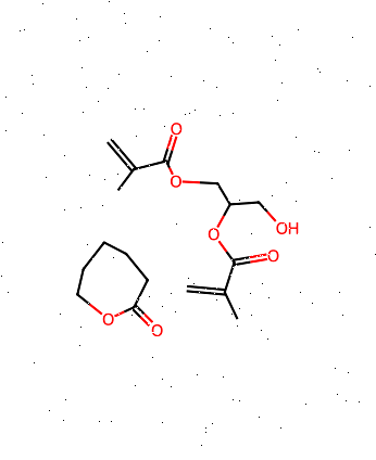 C=C(C)C(=O)OCC(CO)OC(=O)C(=C)C.O=C1CCCCCO1